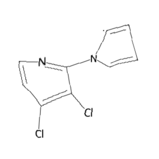 Clc1ccnc(-n2[c]ccc2)c1Cl